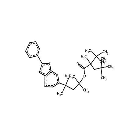 CC(C)(C)CC(C)(C(=O)OC(C)(C)CC(C)(C)c1ccc2cc(-c3ccccc3)sc2c1)C(C)(C)C